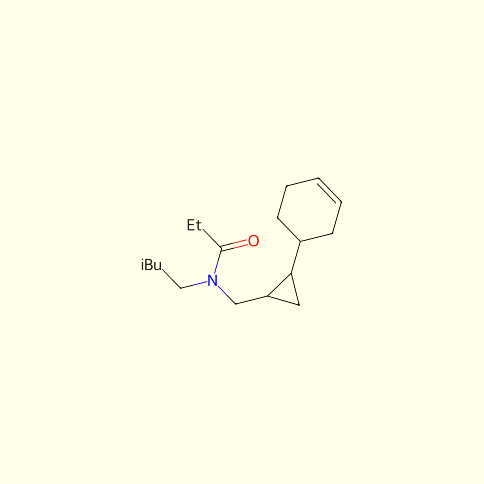 CCC(=O)N(CC(C)CC)CC1CC1C1CC=CCC1